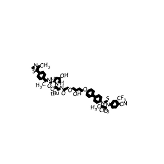 Cc1ncsc1-c1ccc([C@H](C)NC(=O)[C@@H]2C[C@@H](O)CN2C(=O)C(NC(=O)COC[C@@H](O)CCOc2ccc(-c3ccc(N4C(=S)N(c5ccc(C#N)c(C(F)(F)F)c5)C(=O)C4(C)C)cc3)cc2)C(C)(C)C)cc1